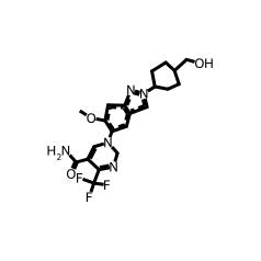 COc1cc2nn(C3CCC(CO)CC3)cc2cc1N1C=C(C(N)=O)C(C(F)(F)F)=NC1